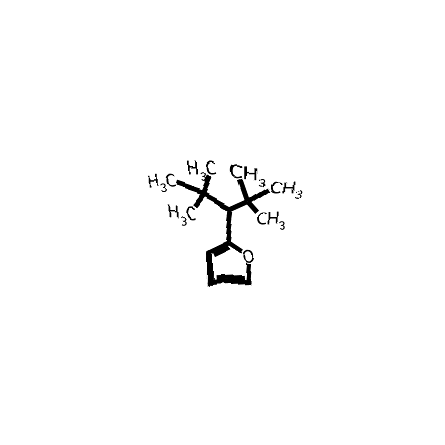 CC(C)(C)C(c1ccco1)C(C)(C)C